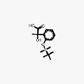 CC(O)(C(=O)O)c1ccccc1O[Si](C)(C)C(C)(C)C